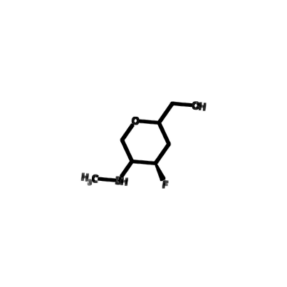 CBC1COC(CO)C[C@H]1F